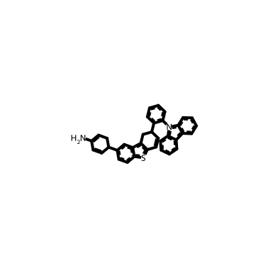 NC1=CCC(c2ccc3sc4c(c3c2)CC(c2ccccc2-n2c3ccccc3c3ccccc32)C=C4)C=C1